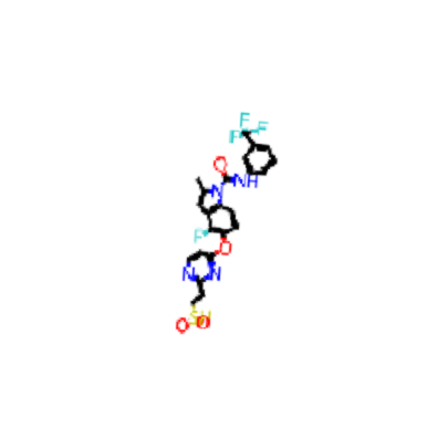 Cc1cc2c(F)c(Oc3ccnc(CC[SH](=O)=O)n3)ccc2n1C(=O)Nc1cccc(C(F)(F)F)c1